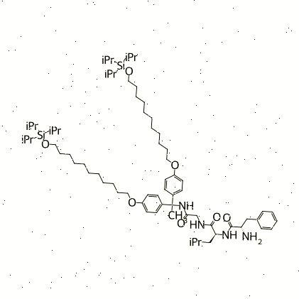 CC(C)C[C@H](NC(=O)[C@@H](N)Cc1ccccc1)C(=O)NCC(=O)NC(C)(c1ccc(OCCCCCCCCCCCO[Si](C(C)C)(C(C)C)C(C)C)cc1)c1ccc(OCCCCCCCCCCCO[Si](C(C)C)(C(C)C)C(C)C)cc1